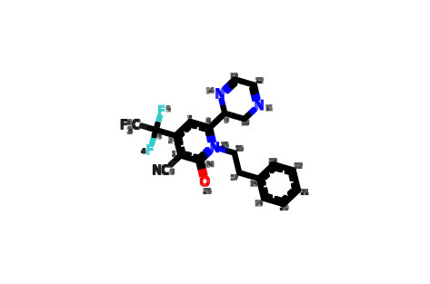 N#Cc1c(C(F)(F)C(F)(F)F)cc(C2CN=CC=N2)n(CCc2ccccc2)c1=O